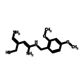 COc1ccc(CN/C(N)=C/C(=C\N)CS)c(OC)c1